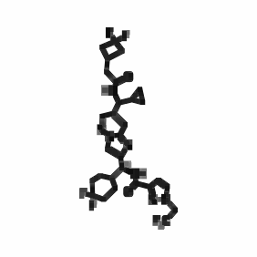 O=C(CC1CC(F)(F)C1)NC(c1cnn2cc([C@@H](NC(=O)c3ccn(CC(F)(F)F)n3)C3CCC(F)(F)CC3)nc2c1)C1CC1